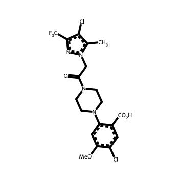 COc1cc(N2CCN(C(=O)Cn3nc(C(F)(F)F)c(Cl)c3C)CC2)c(C(=O)O)cc1Cl